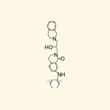 C/C=C\C(=C/C)Nc1ccc2c(c1)C(=O)N(CC(O)CN1CCc3ccccc3C1)CC2